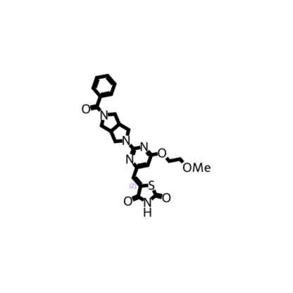 COCCOc1cc(/C=C2\SC(=O)NC2=O)nc(N2CC3CN(C(=O)c4ccccc4)CC3C2)n1